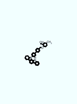 C=NC1=CC(C)CC=C1OCc1ccc(-c2ccc(-n3c4c(c5ccc6c7ccccc7[nH]c6c53)C=CCC4)cc2)cc1